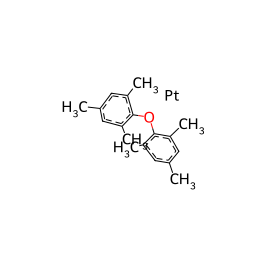 Cc1cc(C)c(Oc2c(C)cc(C)cc2C)c(C)c1.[Pt]